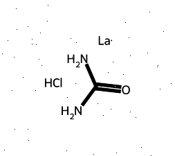 Cl.NC(N)=O.[La]